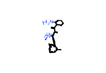 C=C(C1=CCCC=C1N)/C(C)=C(/Cc1ccccc1C)NC